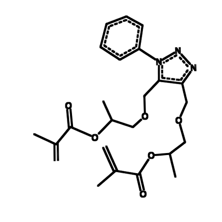 C=C(C)C(=O)OC(C)COCc1nnn(-c2ccccc2)c1COCC(C)OC(=O)C(=C)C